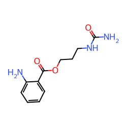 NC(=O)NCCCOC(=O)c1ccccc1N